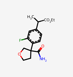 CCOC(=O)C(C)c1ccc(C2(C(N)=O)CCOC2)c(F)c1